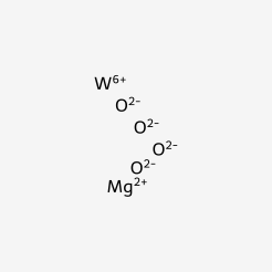 [Mg+2].[O-2].[O-2].[O-2].[O-2].[W+6]